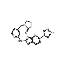 O=C1CCCN1Cc1ccnc(Nc2nc3ccc(-c4cn[nH]c4)nc3s2)c1